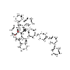 c1ccc(-c2cccc(-c3ccc(-c4ccc(N(c5c(-c6ccccc6)c6ccccc6c6ccccc56)c5cccc6c5sc5ccccc56)cc4)cc3)c2)cc1